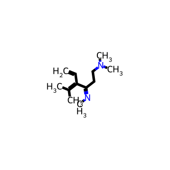 C=CC(=C(C)C)/C(CCN(C)C)=N\C